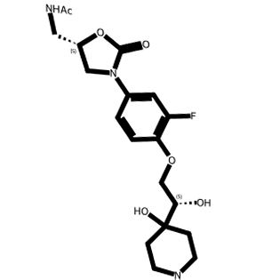 CC(=O)NC[C@H]1CN(c2ccc(OC[C@H](O)C3(O)CCNCC3)c(F)c2)C(=O)O1